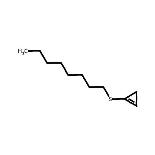 CCCCCCCCSC1=CC1